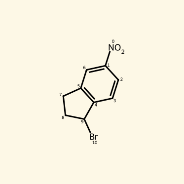 O=[N+]([O-])c1ccc2c(c1)CCC2Br